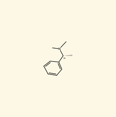 C[C@H](c1ccccc1)N(C)C